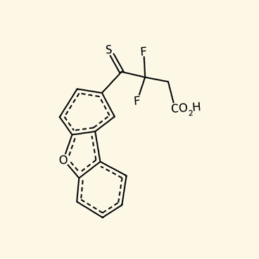 O=C(O)CC(F)(F)C(=S)c1ccc2oc3ccccc3c2c1